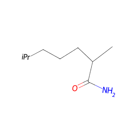 CC(C)CCCC(C)C(N)=O